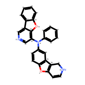 C1=Cc2oc3ccc(N(c4ccccc4)c4cncc5c4oc4ccccc45)cc3c2CN1